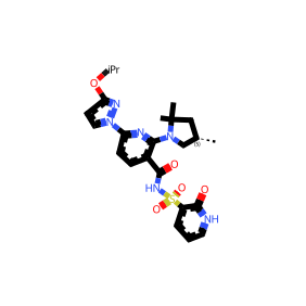 CC(C)Oc1ccn(-c2ccc(C(=O)NS(=O)(=O)c3ccc[nH]c3=O)c(N3C[C@@H](C)CC3(C)C)n2)n1